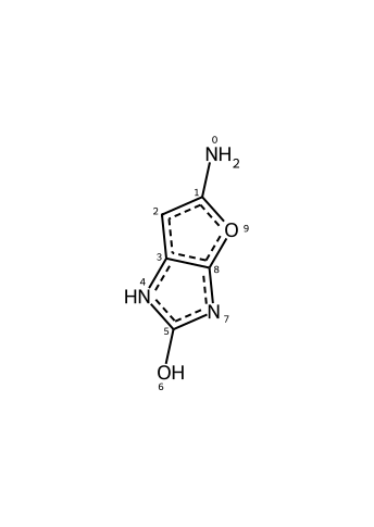 Nc1cc2[nH]c(O)nc2o1